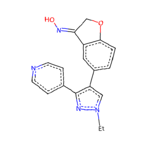 CCn1cc(-c2ccc3c(c2)C(=NO)CO3)c(-c2ccncc2)n1